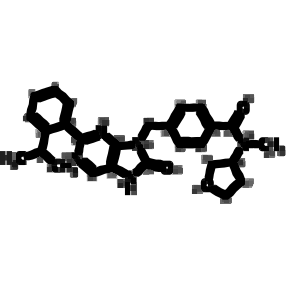 CC(C)c1ccccc1-c1ncc2[nH]c(=O)n(Cc3ccc(C(=O)N(C)C4CCOC4)cc3)c2n1